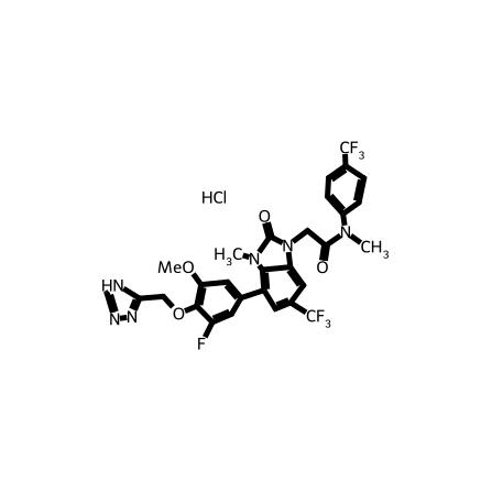 COc1cc(-c2cc(C(F)(F)F)cc3c2n(C)c(=O)n3CC(=O)N(C)c2ccc(C(F)(F)F)cc2)cc(F)c1OCc1nnc[nH]1.Cl